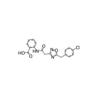 O=C(Cc1noc(Cc2ccc(Cl)cc2)n1)Nc1ccccc1C(=O)O